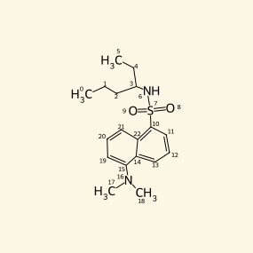 CCCC(CC)NS(=O)(=O)c1cccc2c(N(C)C)cccc12